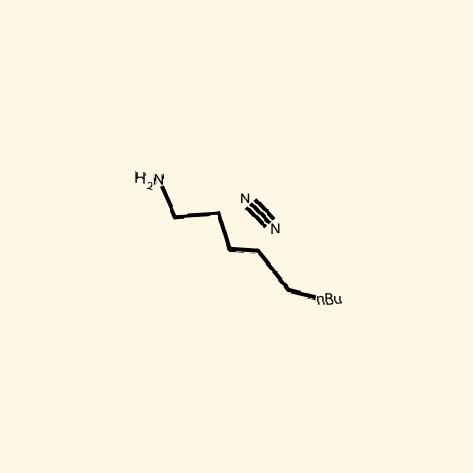 CCCCCCCCCN.N#N